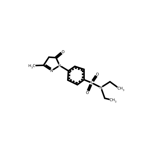 CCN(CC)S(=O)(=O)c1ccc(N2N=C(C)CC2=O)cc1